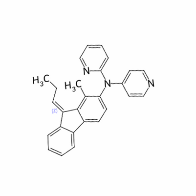 CC/C=C1/c2ccccc2-c2ccc(N(c3ccncc3)c3ccccn3)c(C)c21